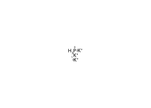 P.[K+].[K+].[K+]